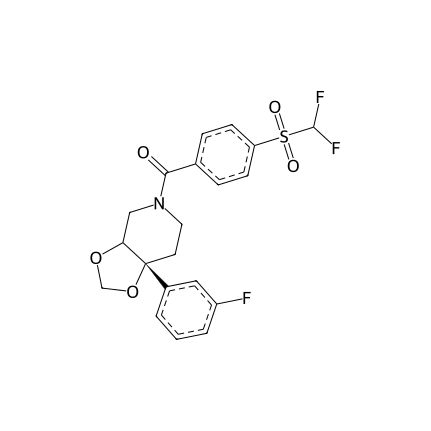 O=C(c1ccc(S(=O)(=O)C(F)F)cc1)N1CC[C@]2(c3cccc(F)c3)OCOC2C1